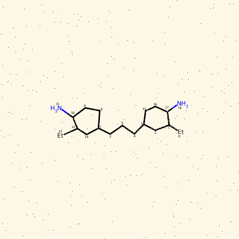 CCC1CC(CCCC2CCC(N)C(CC)C2)CCC1N